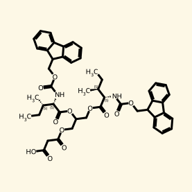 CC[C@H](C)[C@H](NC(=O)OCC1c2ccccc2-c2ccccc21)C(=O)OCC(COC(=O)CC(=O)O)OC(=O)[C@@H](NC(=O)OCC1c2ccccc2-c2ccccc21)[C@@H](C)CC